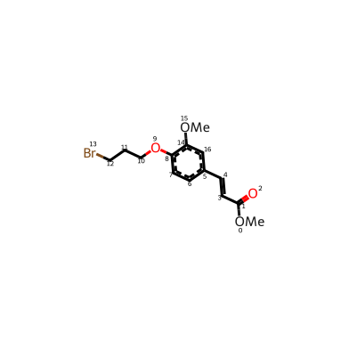 COC(=O)/C=C/c1ccc(OCCCBr)c(OC)c1